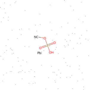 N#COS(=O)(=O)O.[Pb]